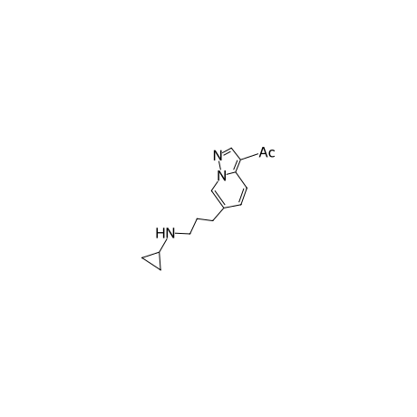 CC(=O)c1cnn2cc(CCCNC3CC3)ccc12